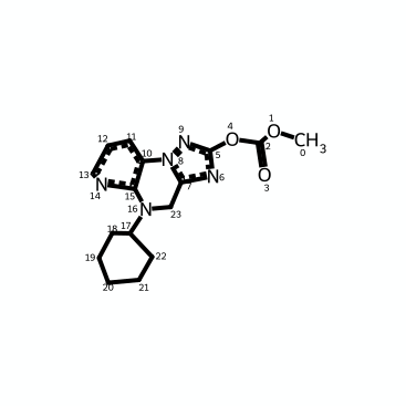 COC(=O)Oc1nc2n(n1)-c1cccnc1N(C1CCCCC1)C2